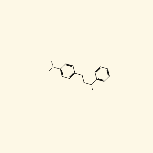 C[C@@H](CCc1ccc(N(C)C)cc1)c1ccccc1